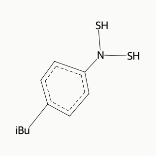 CCC(C)c1ccc(N(S)S)cc1